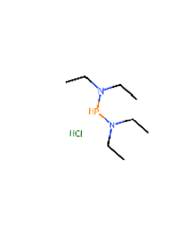 CCN(CC)PN(CC)CC.Cl